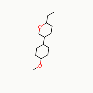 CCC1CCC(C2CCC(OC)CC2)CO1